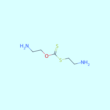 NCCOC(=S)SCCN